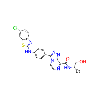 CCC(CO)NC(=O)c1nccn2c(-c3ccc(Nc4nc5ccc(Cl)cc5s4)cc3)nnc12